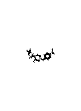 CNc1ccc(CN2CCN(C(=O)OC(C)(C)C)[C@H](C)C2)cc1